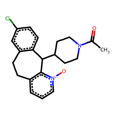 CC(=O)N1CCC(C2c3ccc(Cl)cc3CCc3ccc[n+]([O-])c32)CC1